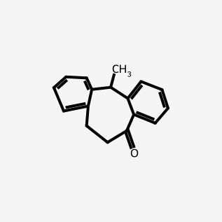 CC1c2ccccc2CCC(=O)c2ccccc21